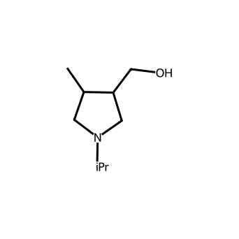 CC1CN(C(C)C)CC1CO